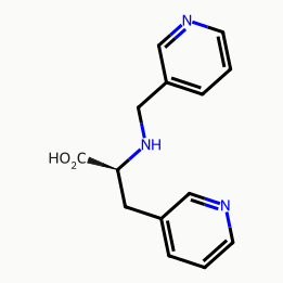 O=C(O)[C@H](Cc1cccnc1)NCc1cccnc1